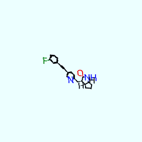 O=C1N[C@H]2CCC[C@H]2[C@H]1Cc1ccc(C#Cc2cccc(F)c2)cn1